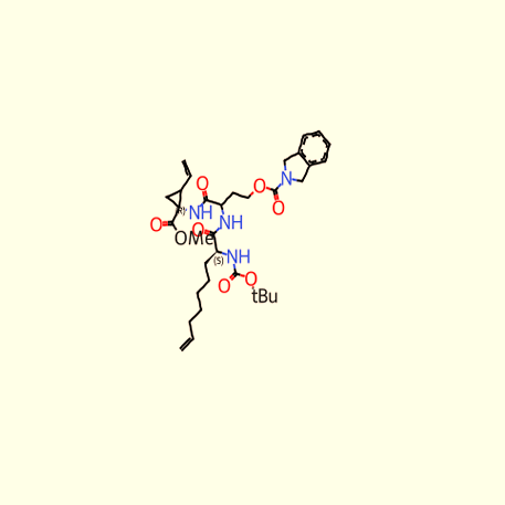 C=CCCCCC[C@H](NC(=O)OC(C)(C)C)C(=O)NC(CCOC(=O)N1Cc2ccccc2C1)C(=O)N[C@]1(C(=O)OC)CC1C=C